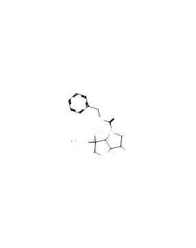 COC1(OC)COC2C(Cl)CN(C(=O)OCc3ccccc3)C21